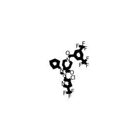 O=C(c1cc(C(F)(F)F)cc(C(F)(F)F)c1)N1CCC2(CC1)C(=O)N(c1ncc(C(F)(F)F)cc1Cl)CN2c1ccccc1